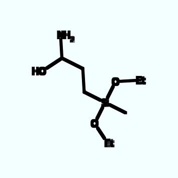 CCO[Si](C)(CCC(N)O)OCC